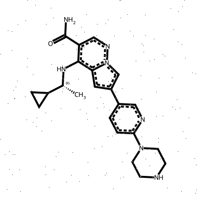 C[C@@H](Nc1c(C(N)=O)cnn2cc(-c3ccc(N4CCNCC4)nc3)cc12)C1CC1